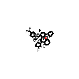 N#Cc1cccc(C#N)c1-c1c(-c2c(Cl)c(-c3ccccc3)cc(F)c2C(=O)O)n(S(=O)(=O)c2ccc(C(F)F)cc2)c2ccc(F)cc12